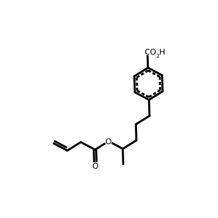 C=CCC(=O)OC(C)CCCc1ccc(C(=O)O)cc1